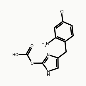 Nc1cc(Cl)ccc1Cc1c[nH]c(OC(=O)O)n1